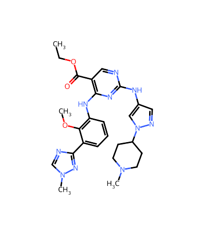 CCOC(=O)c1cnc(Nc2cnn(C3CCN(C)CC3)c2)nc1Nc1cccc(-c2ncn(C)n2)c1OC